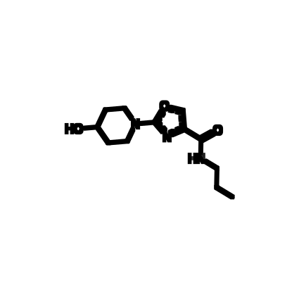 CCCNC(=O)c1coc(N2CCC(O)CC2)n1